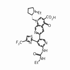 CCNC(=O)Nc1cc(-c2nc(C(F)(F)F)cs2)c(-c2cc3c(=O)c(C(=O)O)cn(C[C@@H]4CCCN4CC)c3cn2)cn1